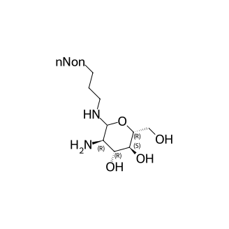 CCCCCCCCCCCCNC1O[C@H](CO)[C@@H](O)[C@H](O)[C@H]1N